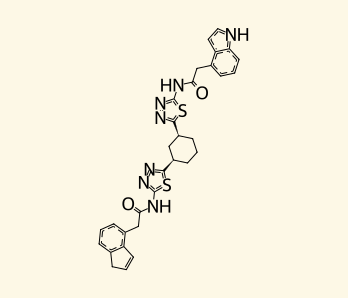 O=C(Cc1cccc2c1C=CC2)Nc1nnc([C@@H]2CCC[C@H](c3nnc(NC(=O)Cc4cccc5[nH]ccc45)s3)C2)s1